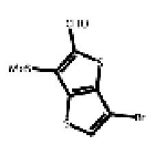 CSc1c(C=O)sc2c(Br)csc12